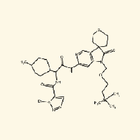 CCn1nccc1C(=O)NC(C(=O)Nc1cc2c(cn1)C1(CCOCC1)C(=O)N2COCC[Si](C)(C)C)C1CCC(C)CC1